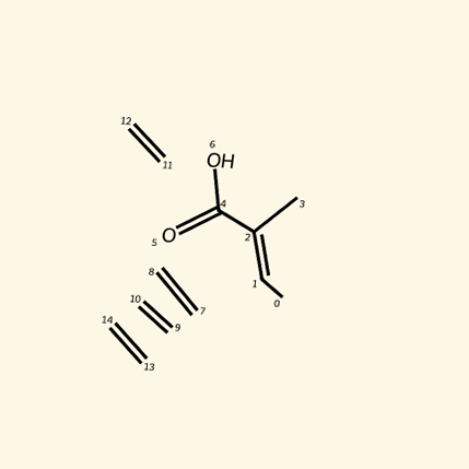 C/C=C(\C)C(=O)O.C=C.C=C.C=C.C=C